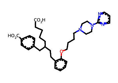 O=C(O)CCCCC(CCc1ccccc1OCCCCN1CCN(c2ncccn2)CC1)Cc1ccc(C(=O)O)cc1